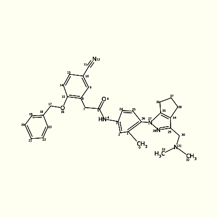 Cc1cc(NC(=O)Cc2cc(C#N)ccc2OCc2ccccc2)ccc1-n1nc(CN(C)C)c2c1CCC2